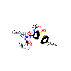 CCC(=O)Nc1cc([S+]([O-])c2ccc(OC)cc2)ccc1C(=O)NC(=NC(=O)OC)NC(=O)OC